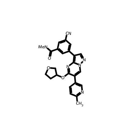 CNC(=O)c1cc(C#N)cc(-c2cnn3cc(-c4ccc(C)nc4)c(OC4CCOC4)nc23)c1